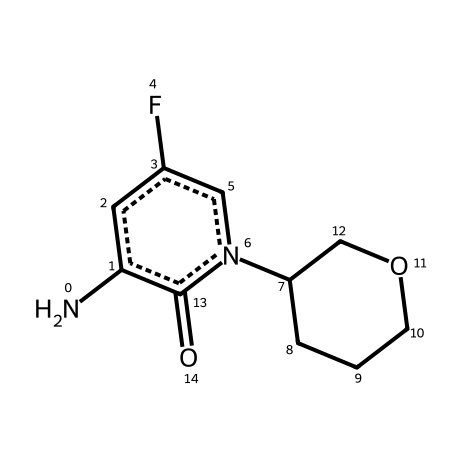 Nc1cc(F)cn(C2CCCOC2)c1=O